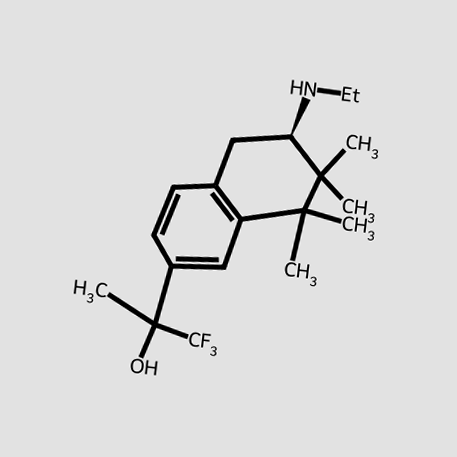 CCN[C@@H]1Cc2ccc(C(C)(O)C(F)(F)F)cc2C(C)(C)C1(C)C